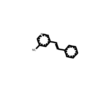 N#Cc1cncc(C=Cc2ccccc2)c1